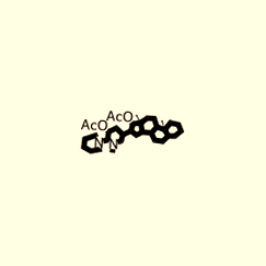 CC(=O)OC1CC(C2CC3C4CCC5CCCC[C@]5(C)C4CC[C@]3(C)C2OC(C)=O)CN(C)C1N1CCCCC1